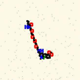 C/C=C/C(=O)NCCOCCOCCOCCOCCNC[C@H]1C[C@@H](Cc2c(F)ccc3c2OCO3)CN(C)C1